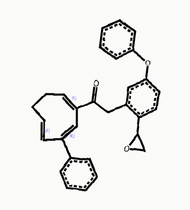 O=C(Cc1cc(Oc2ccccc2)ccc1C1CO1)C1=C/CC/C=C/C(c2ccccc2)=C\1